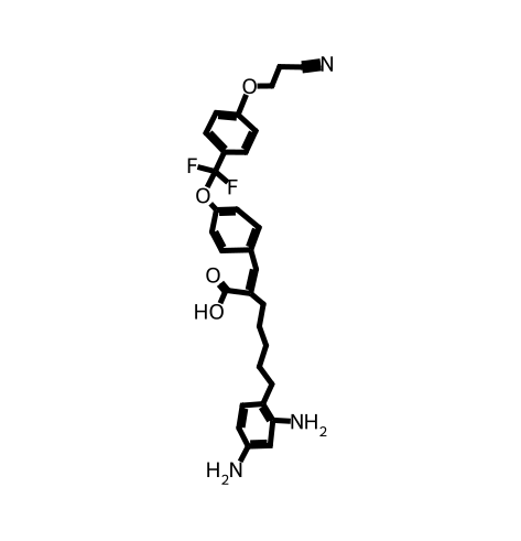 N#CCCOc1ccc(C(F)(F)Oc2ccc(C=C(CCCCCc3ccc(N)cc3N)C(=O)O)cc2)cc1